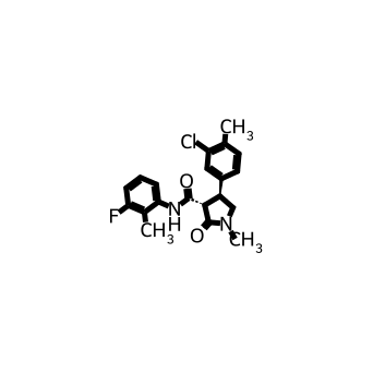 Cc1ccc([C@H]2CN(C)C(=O)[C@@H]2C(=O)Nc2cccc(F)c2C)cc1Cl